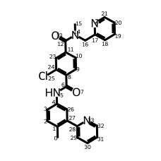 Cc1ccc(NC(=O)c2ccc(C(=O)N(C)Cc3ccccn3)cc2Cl)cc1-c1ccccn1